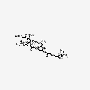 CCCCCCCCCCCC(=O)O[C@H](CCCCCCCCCCC)CC(=O)N[C@@H](CCOP(C)(C)=O)C(=O)NCCC[C@H](COC(=O)CCCCC1COC(C)(C)O1)NC(=O)C[C@H](C)CCCCCCCCCCC